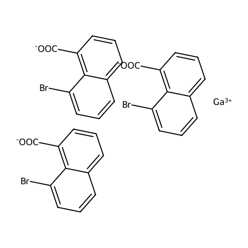 O=C([O-])c1cccc2cccc(Br)c12.O=C([O-])c1cccc2cccc(Br)c12.O=C([O-])c1cccc2cccc(Br)c12.[Ga+3]